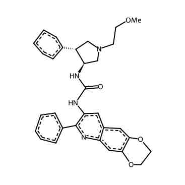 COCCN1C[C@@H](NC(=O)Nc2cc3cc4c(cc3nc2-c2ccccc2)OCCO4)[C@H](c2ccccc2)C1